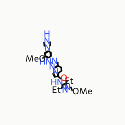 CCc1nn(CCOC)c(CC)c1NC(=O)c1ccn2c1CCc1cnc(Nc3ccc(N4CCNCC4)cc3OC)nc1-2